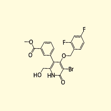 COC(=O)c1cccc(-c2c(CO)[nH]c(=O)c(Br)c2OCc2ccc(F)cc2F)c1